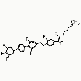 C=CCCCC/C(F)=C(\F)c1ccc(CCc2cc(F)c(-c3ccc(-c4cc(F)c(F)c(F)c4)cc3)c(F)c2)c(F)c1